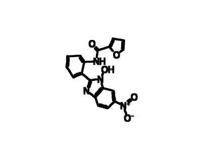 O=C(Nc1ccccc1-c1nc2ccc([N+](=O)[O-])cc2n1O)c1ccco1